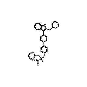 CC(Cc1ccccc1)(Oc1ccc(-c2ccc(-c3c(Cc4ccccc4)oc4ccccc34)cc2)cc1)C(=O)O